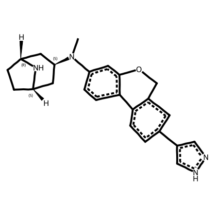 CN(c1ccc2c(c1)OCc1cc(-c3cn[nH]c3)ccc1-2)[C@@H]1C[C@H]2CC[C@@H](C1)N2